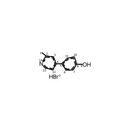 Br.Cc1cc(-c2ccc(O)cc2)ccn1